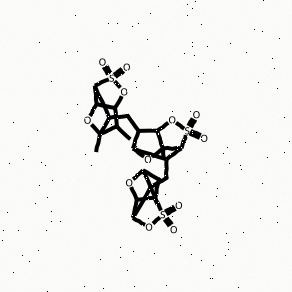 CC1C2OS(=O)(=O)C3C2OC1(C)C3CC1C2OC3(C)C1OS(=O)(=O)C3C2CC1(C)C2CC3C(O2)C1OS3(=O)=O